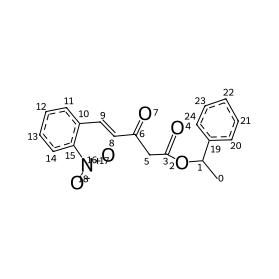 CC(OC(=O)CC(=O)C=Cc1ccccc1[N+](=O)[O-])c1ccccc1